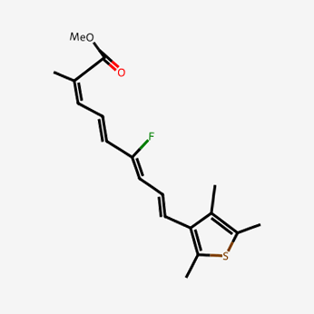 COC(=O)C(C)=CC=CC(F)=CC=Cc1c(C)sc(C)c1C